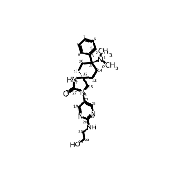 CN(C)[C@]1(c2ccccc2)CC[C@]2(CC1)CN(c1cnc(NCCO)nc1)C(=O)N2